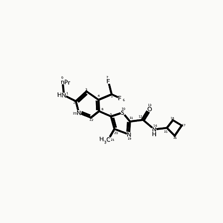 CCCNc1cc(C(F)F)c(-c2sc(C(=O)NC3CCC3)nc2C)cn1